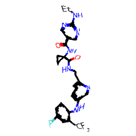 CCNc1ncc(C(=O)NC2(C(=O)NCc3ccc(Nc4ccc(F)cc4C(F)(F)F)cn3)CC2)cn1